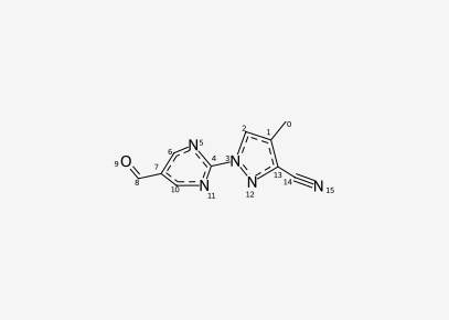 Cc1cn(-c2ncc(C=O)cn2)nc1C#N